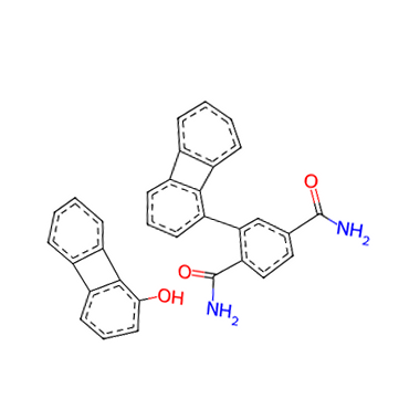 NC(=O)c1ccc(C(N)=O)c(-c2cccc3c2-c2ccccc2-3)c1.Oc1cccc2c1-c1ccccc1-2